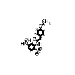 CCOc1ccc(CC(=O)Nc2cc(NC)ccc2[N+](=O)[O-])cc1